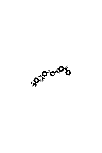 Cn1c(Nc2cccc(C(F)(F)F)c2)nc2cc(Oc3ccnc(-c4nc5cc(C(=O)c6ccccc6)ccc5[nH]4)c3)ccc21